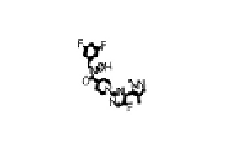 Cc1cnn(C)c1-c1nc(N2CCC(C(=O)N(O)Cc3cc(F)cc(F)c3)CC2)ncc1F